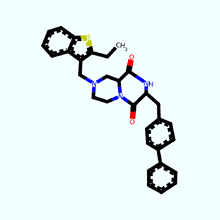 CCc1sc2ccccc2c1CN1CCN2C(=O)C(Cc3ccc(-c4ccccc4)cc3)NC(=O)C2C1